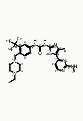 CCN1CCN(Cc2ccc(NC(=O)Nc3nc(C)c(-c4ccnc(NC)n4)s3)cc2C(F)(F)F)CC1